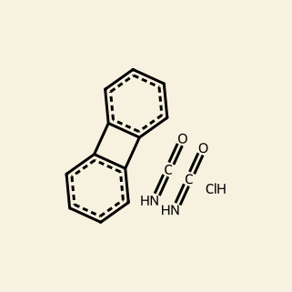 Cl.N=C=O.N=C=O.c1ccc2c(c1)-c1ccccc1-2